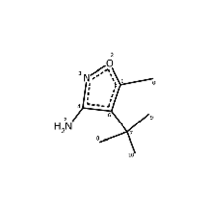 Cc1onc(N)c1C(C)(C)C